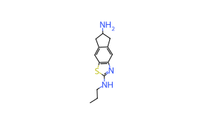 CCCNc1nc2cc3c(cc2s1)CC(N)C3